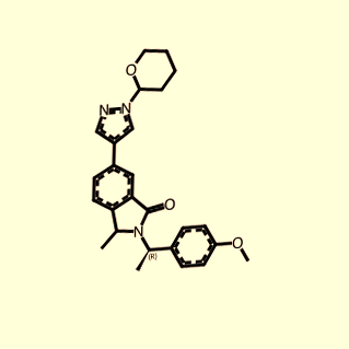 COc1ccc([C@@H](C)N2C(=O)c3cc(-c4cnn(C5CCCCO5)c4)ccc3C2C)cc1